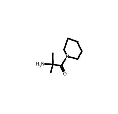 CC(C)(N)C(=O)N1CC[CH]CC1